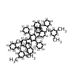 Cc1cc(C)cc(N(c2ccccc2C)c2ccc3c4c(-c5ccccc5)c5c(c(-c6ccccc6)c4n4c6ccccc6c2c34)c2ccc(N(c3cc(C)cc(C)c3)c3ccccc3C)c3c4ccccc4n5c23)c1